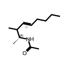 CCCC/C=C/C(C)[C@@H](C)NC(C)=O